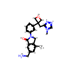 Cn1cnnc1CC1(c2cccc(N3Cc4c(cc(CN)cc4C(F)(F)F)C3=O)c2)COC1